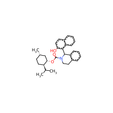 CC(C)[C@H]1CC[C@H](C)C[C@@H]1OC(=O)N1CCc2ccccc2C1c1c(O)ccc2ccccc12